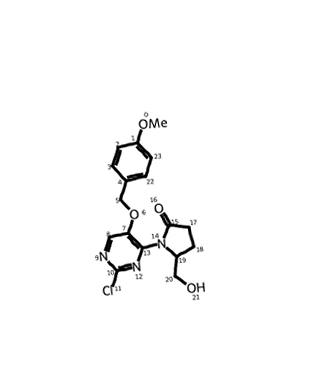 COc1ccc(COc2cnc(Cl)nc2N2C(=O)CCC2CO)cc1